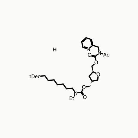 CCCCCCCCCCCCCCCCCN(CC)C(=O)OC[C@H]1CO[C@H](COC(=O)N(Cc2ccccn2)C(C)=O)C1.I